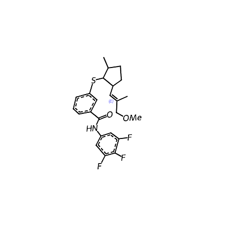 COC/C(C)=C/C1CCC(C)C1Sc1cccc(C(=O)Nc2cc(F)c(F)c(F)c2)c1